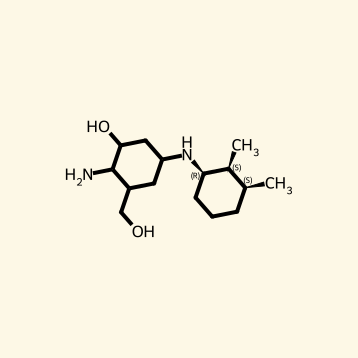 C[C@H]1[C@@H](C)CCC[C@H]1NC1CC(O)C(N)C(CO)C1